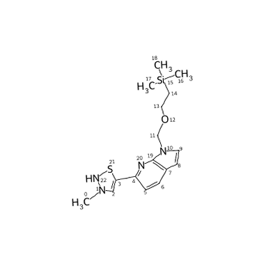 CN1C=C(c2ccc3ccn(COCC[Si](C)(C)C)c3n2)SN1